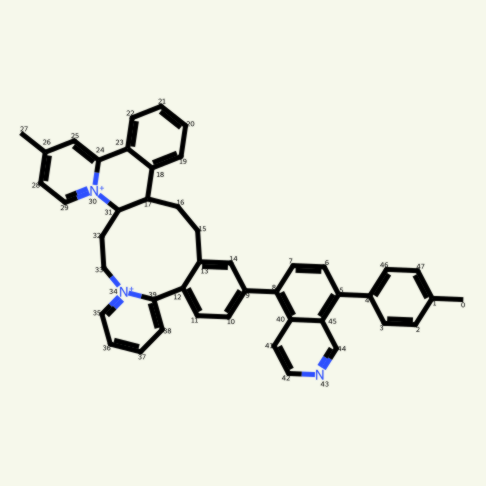 Cc1ccc(-c2ccc(-c3ccc4c(c3)CCC3c5ccccc5-c5cc(C)cc[n+]5C3CC[n+]3ccccc3-4)c3ccncc23)cc1